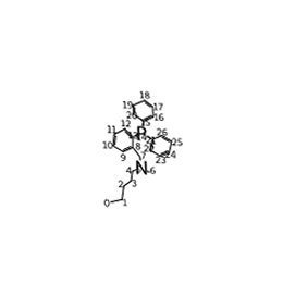 CCCCCN(C)Cc1ccccc1P(c1ccccc1)c1ccccc1